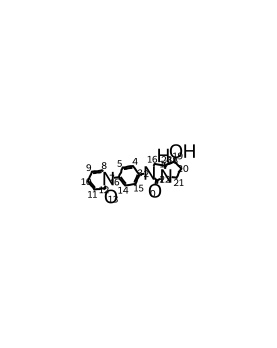 O=C1N(c2ccc(-n3ccccc3=O)cc2)C[C@@H]2[C@@H](O)CCN12